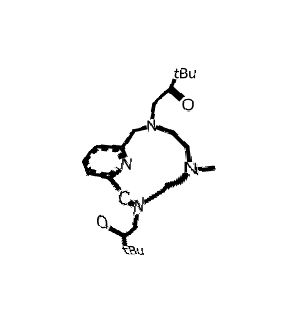 CN1CCN(CC(=O)C(C)(C)C)Cc2cccc(n2)CN(CC(=O)C(C)(C)C)CC1